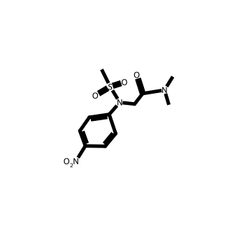 CN(C)C(=O)CN(c1ccc([N+](=O)[O-])cc1)S(C)(=O)=O